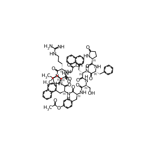 CC(=O)Oc1ccc(C[C@H](NC(=O)[C@H](CO)NC(=O)[C@H](Cc2cccc3ccccc23)NC(=O)[C@@H](Cc2ccccc2)NC(=O)[C@@H]2CCC(=O)N2)C(=O)N[C@@H](Cc2cccc3ccccc23)C(=O)N[C@@H](CC(C)C)C(=O)N[C@@H](CCCNC(=N)N)C(=O)N2CCC[C@H]2C(=O)NCC(=O)O)cc1